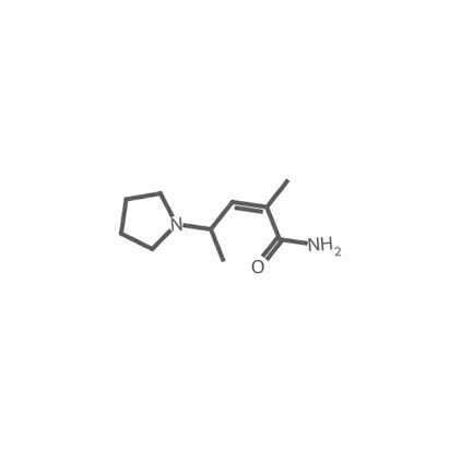 CC(=CC(C)N1CCCC1)C(N)=O